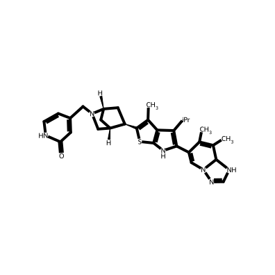 CC1=C(C)C2NC=NN2C=C1c1[nH]c2sc([C@@H]3C[C@@H]4C[C@H]3CN4Cc3cc[nH]c(=O)c3)c(C)c2c1C(C)C